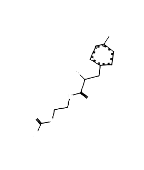 NC(Cc1ccc(F)cc1)C(=O)NCCOC(=O)C(F)(F)F